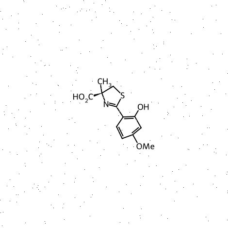 COc1ccc(C2=N[C@@](C)(C(=O)O)CS2)c(O)c1